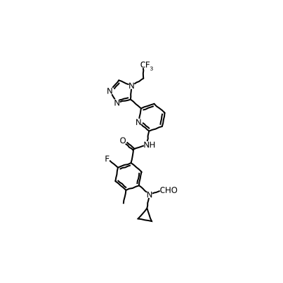 Cc1cc(F)c(C(=O)Nc2cccc(-c3nncn3CC(F)(F)F)n2)cc1N(C=O)C1CC1